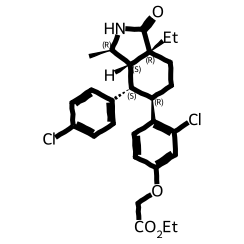 CCOC(=O)COc1ccc([C@@H]2CC[C@@]3(CC)C(=O)N[C@H](C)[C@H]3[C@H]2c2ccc(Cl)cc2)c(Cl)c1